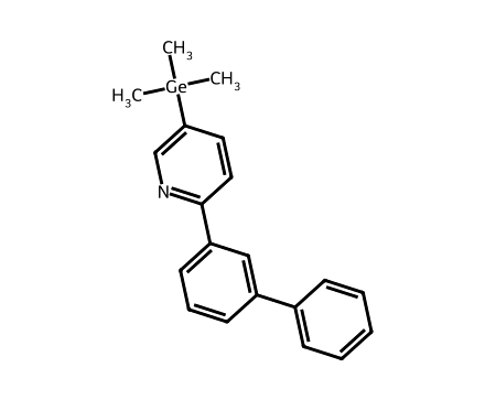 [CH3][Ge]([CH3])([CH3])[c]1ccc(-c2cccc(-c3ccccc3)c2)nc1